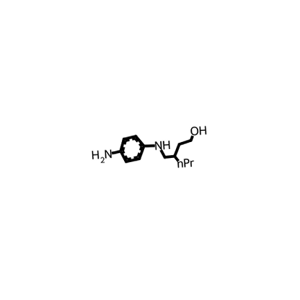 CCCC(CCO)CNc1ccc(N)cc1